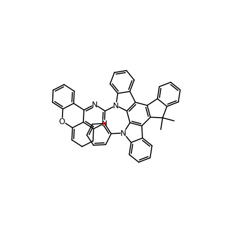 CC1(C)c2ccccc2-c2c1c1c3ccccc3n(-c3ccccc3)c1c1c2c2ccccc2n1-c1nc2c3c(n1)-c1ccccc1OC3=CCC2